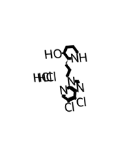 Cl.Cl.O[C@H]1CCCN[C@@H]1CCCn1cnc2c(Cl)c(Cl)cnc21